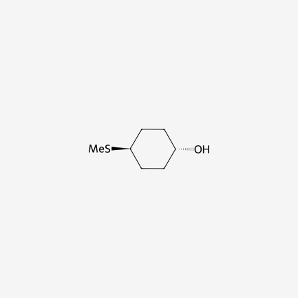 CS[C@H]1CC[C@H](O)CC1